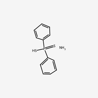 N.S=P(S)(c1ccccc1)c1ccccc1